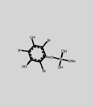 CO[Si](O)(O)OC.Oc1c(Br)cc(Br)c(O)c1Br